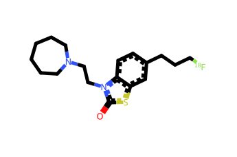 O=c1sc2cc(CCC[18F])ccc2n1CCN1CCCCCC1